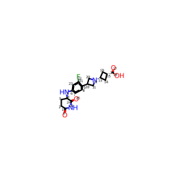 O=C1CCC(Nc2ccc(C3CN([C@H]4C[C@@H](C(=O)O)C4)C3)c(F)c2)C(=O)N1